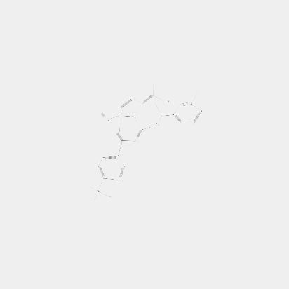 C=C(/N=C(/NC(C)c1cccc(Cl)c1)NC(C)(/C=C\C=C(/C)O)N=O)c1ccc(C(F)(F)F)cc1